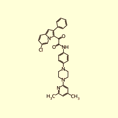 Cc1cc(C)nc(N2CCN(c3ccc(NC(=O)C(=O)c4c(-c5ccccc5)cc5ccc(Cl)cn45)cc3)CC2)c1